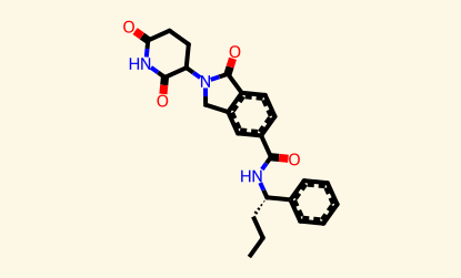 CCC[C@H](NC(=O)c1ccc2c(c1)CN(C1CCC(=O)NC1=O)C2=O)c1ccccc1